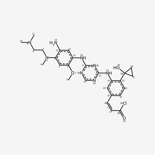 COc1cc(N(C)CCN(C)C)c(N)cc1Nc1ncnc(Nc2cc(/C=C\C(=O)Cl)ccc2C2(O)CC2)n1